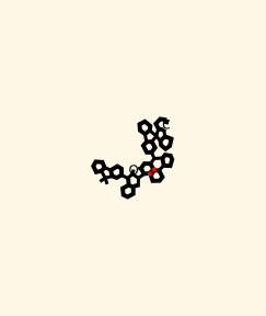 CC1(C)c2ccccc2-c2ccc(C3=c4ccccc4=CC4c5ccc(C(c6ccc7c(c6)C6(c8ccccc8-c8ccccc86)c6ccccc6-7)c6ccccc6-c6ccccc6)cc5OC34)cc21